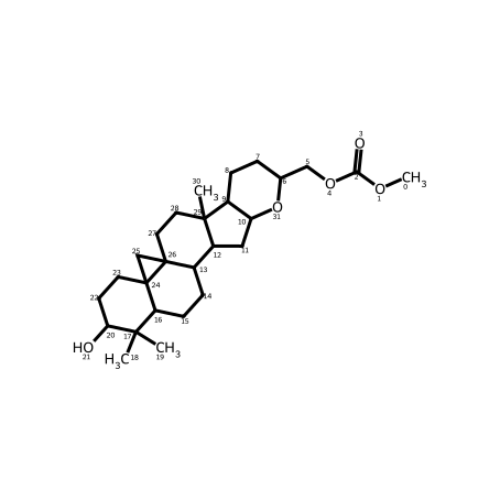 COC(=O)OCC1CCC2C(CC3C4CCC5C(C)(C)C(O)CCC56CC46CCC23C)O1